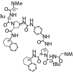 CNCC(=O)N[C@H](C(=O)N1C[C@@H](NC(=O)Nc2ccc(NC(=O)N[C@H]3CC(C(=O)N[C@@H]4CCCc5ccccc54)N(C(=O)[C@@H](NC(=O)[C@H](C)NC)C(C)(C)C)C3)cc2)C[C@H]1C(=O)N[C@@H]1CCCc2ccccc21)C(C)(C)C